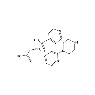 NCC(=O)O.O=C(O)c1ccncc1.c1ccc(N2CCNCC2)nc1